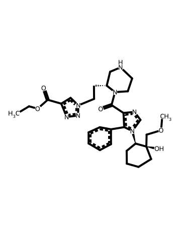 CCOC(=O)c1cn(CC[C@@H]2CNCCN2C(=O)c2ncn([C@@H]3CCCC[C@@]3(O)COC)c2-c2ccccc2)nn1